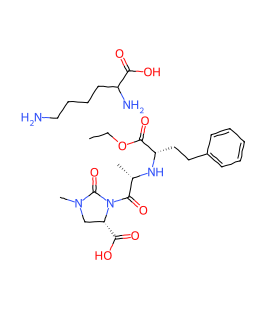 CCOC(=O)[C@H](CCc1ccccc1)N[C@@H](C)C(=O)N1C(=O)N(C)C[C@H]1C(=O)O.NCCCCC(N)C(=O)O